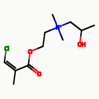 CC(=CCl)C(=O)OCC[N+](C)(C)CC(C)O